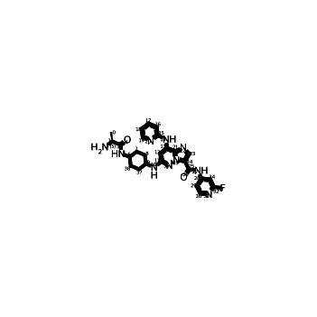 C[C@H](N)C(=O)NC1CCC(Nc2cc(Nc3ccccn3)c3ncc(C(=O)Nc4ccnc(F)c4)n3n2)CC1